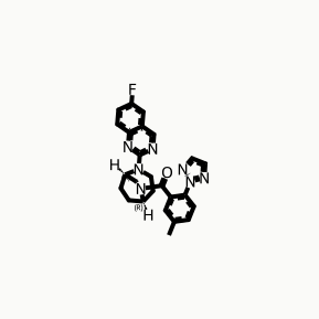 Cc1ccc(-n2nccn2)c(C(=O)N2C[C@H]3CC[C@@H]2CCN3c2ncc3cc(F)ccc3n2)c1